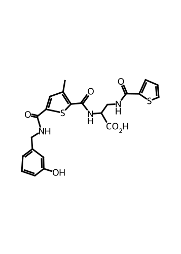 Cc1cc(C(=O)NCc2cccc(O)c2)sc1C(=O)NC(CNC(=O)c1cccs1)C(=O)O